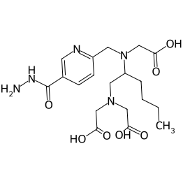 CCCCC(CN(CC(=O)O)CC(=O)O)N(CC(=O)O)Cc1ccc(C(=O)NN)cn1